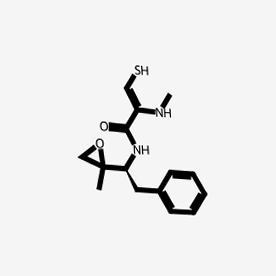 CN/C(=C\S)C(=O)N[C@@H](Cc1ccccc1)C1(C)CO1